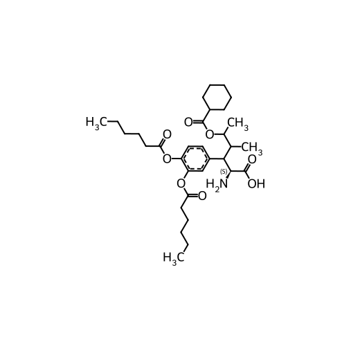 CCCCCC(=O)Oc1ccc(C(C(C)C(C)OC(=O)C2CCCCC2)[C@H](N)C(=O)O)cc1OC(=O)CCCCC